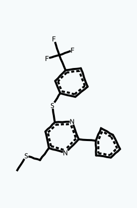 CSCc1cc(Sc2cccc(C(F)(F)F)c2)nc(-c2ccccc2)n1